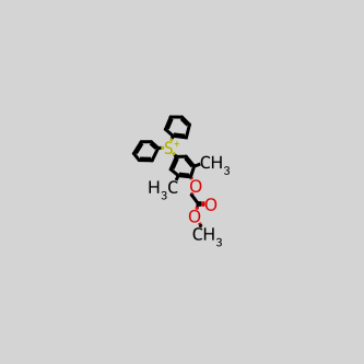 CCOC(=O)COc1c(C)cc([S+](c2ccccc2)c2ccccc2)cc1C